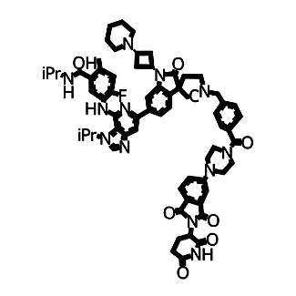 Cc1cc(F)c(Nc2nc(-c3ccc4c(c3)N([C@H]3C[C@@H](N5CCCCC5)C3)C(=O)C43CCN(Cc4ccc(C(=O)N5CCN(c6ccc7c(c6)C(=O)N(C6CCC(=O)NC6=O)C7=O)CC5)cc4)CC3)cc3ncn(C(C)C)c23)cc1C(O)NC(C)C